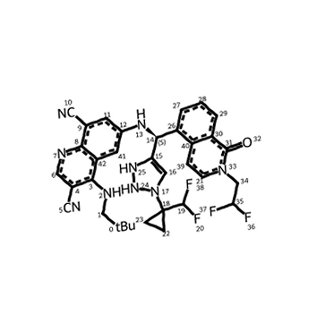 CC(C)(C)CNc1c(C#N)cnc2c(C#N)cc(N[C@H](C3=CN(C4(C(F)F)CC4)NN3)c3cccc4c(=O)n(CC(F)F)ccc34)cc12